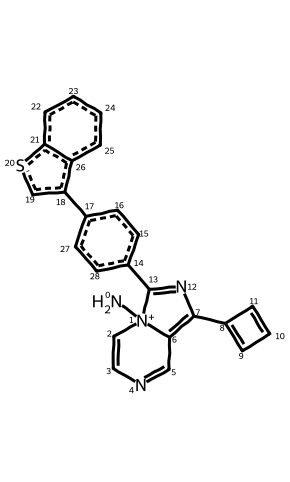 N[N+]12C=CN=CC1=C(C1=CC=C1)N=C2c1ccc(-c2csc3ccccc23)cc1